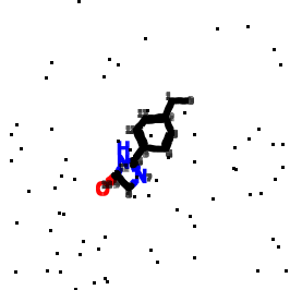 CCc1ccc(C2=NCC(=O)N2)cc1